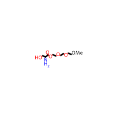 COCCOCCOCCOC(=O)[C@@H](N)CO